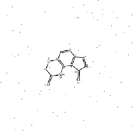 O=C1COc2ccc3c(c2N1)C(=O)N=C3